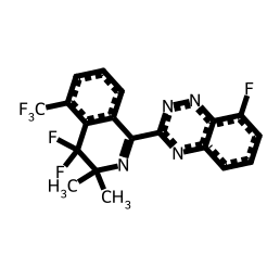 CC1(C)N=C(c2nnc3c(F)cccc3n2)c2cccc(C(F)(F)F)c2C1(F)F